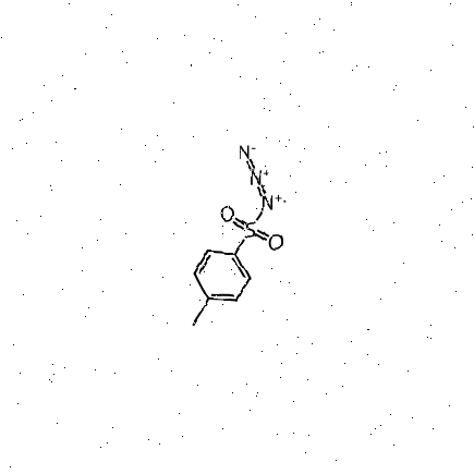 Cc1ccc(S(=O)(=O)[N+]=[N+]=[N-])cc1